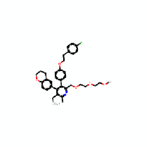 CCOCCOCCOCc1nc(C)c(CC(=O)O)c(-c2ccc3c(c2)CCCO3)c1-c1ccc(OCCc2ccc(F)cc2)cc1